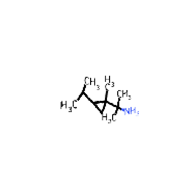 CC(C)C1CC1(C)C(C)(C)N